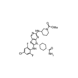 COC(=O)N1CCCC(Nc2ncc3nc(Nc4c(F)cc(Cl)cc4F)n([C@H]4CC[C@@H](C(N)=O)CC4)c3n2)C1